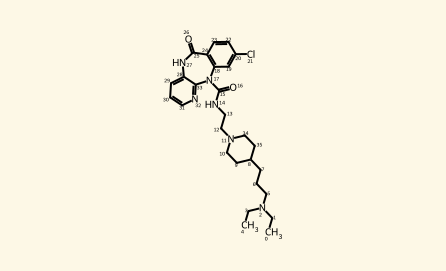 CCN(CC)CCCC1CCN(CCNC(=O)N2c3cc(Cl)ccc3C(=O)Nc3cccnc32)CC1